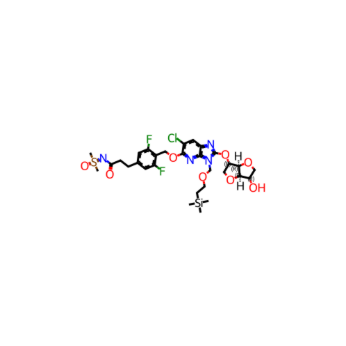 C[Si](C)(C)CCOCn1c(O[C@@H]2CO[C@H]3[C@@H]2OC[C@H]3O)nc2cc(Cl)c(OCc3c(F)cc(CCC(=O)N=S(C)(C)=O)cc3F)nc21